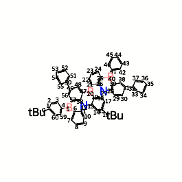 CC(C)(C)c1ccc(B2c3ccccc3N3c4cc(C(C)(C)C)cc5c4B(c4cccc6c4N5c4ccc(-c5ccccc5)cc4B6c4ccccc4)c4cc(-c5ccccc5)cc2c43)cc1